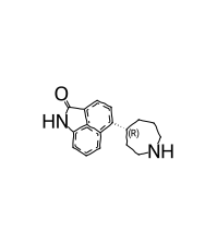 O=C1Nc2cccc3c([C@@H]4CCCNCC4)ccc1c23